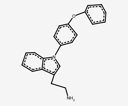 NCCc1cn(-c2ccc(Oc3ccccc3)cc2)c2ccccc12